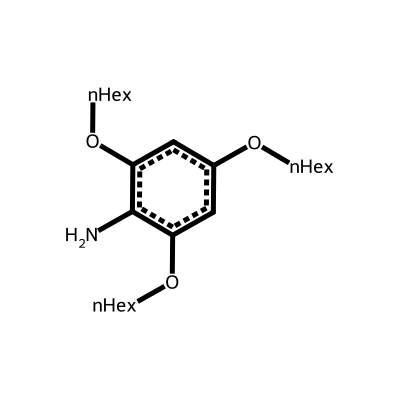 CCCCCCOc1cc(OCCCCCC)c(N)c(OCCCCCC)c1